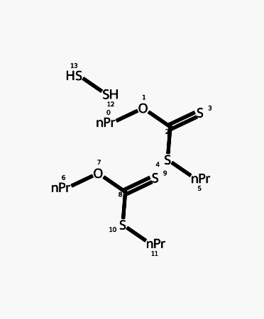 CCCOC(=S)SCCC.CCCOC(=S)SCCC.SS